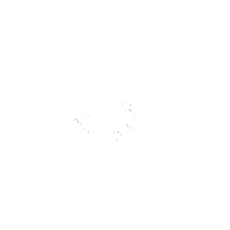 COC(=O)N1CCN(CCCCOc2ccc(C(=O)N3CCC(N4C(=O)CCc5ccccc54)CC3)cc2)CC1